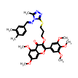 COc1cc(OC)c2c(=O)c(OCCCSc3nnc(C)n3N=Cc3ccc(C)c(C)c3)c(-c3cc(OC)c(OC)c(OC)c3)oc2c1